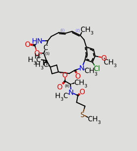 COc1cc2cc(c1Cl)N(C)C(=O)C[C@]1(OC(=O)[C@@H](C)N(C)C(=O)CCSC)C[C@@](C)(C1)[C@H](C)[C@@H]1CC(C/C=C/C=C(/C)C2)NC(=O)O1